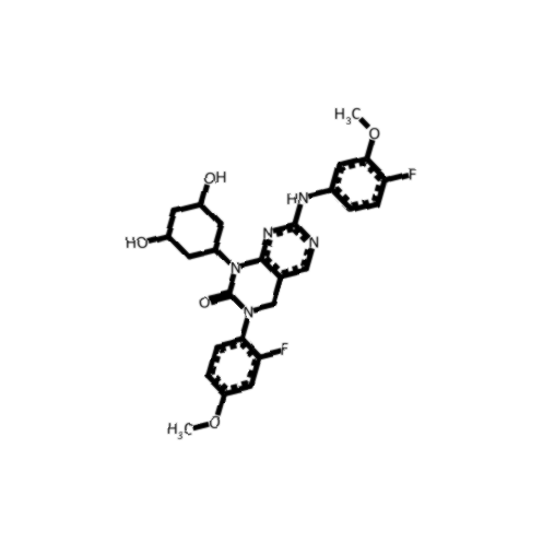 COc1ccc(N2Cc3cnc(Nc4ccc(F)c(OC)c4)nc3N(C3CC(O)CC(O)C3)C2=O)c(F)c1